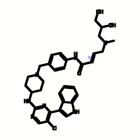 CN(C/C=C/C(=O)Nc1ccc(CN2CCC(Nc3ncc(Cl)c(-c4c[nH]c5ccccc45)n3)CC2)cc1)CC(O)CO